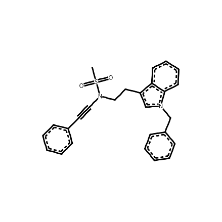 CS(=O)(=O)N(C#Cc1ccccc1)CCc1cn(Cc2ccccc2)c2ccccc12